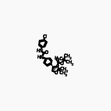 CC(C)(C)OC(=O)N1[C@@H](c2ccc(NC(=O)Nc3ccc(Cl)cc3)cc2)COC1(C)C